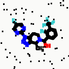 C[C@H]1c2nnn(-c3ncc(F)cn3)c2CCN1C(O)c1cccc(C(F)(F)F)c1F